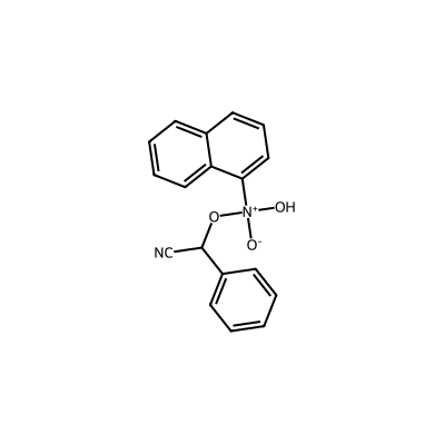 N#CC(O[N+]([O-])(O)c1cccc2ccccc12)c1ccccc1